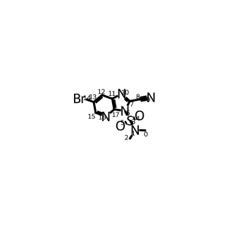 CN(C)S(=O)(=O)n1c(C#N)nc2cc(Br)cnc21